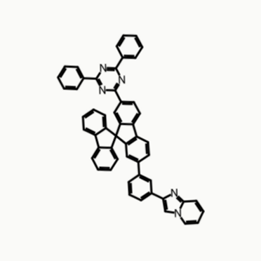 c1ccc(-c2nc(-c3ccccc3)nc(-c3ccc4c(c3)C3(c5ccccc5-c5ccccc53)c3cc(-c5cccc(-c6cn7ccccc7n6)c5)ccc3-4)n2)cc1